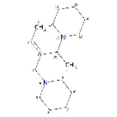 CC=C(CN1CCCCC1)C(C)N1CCCCC1